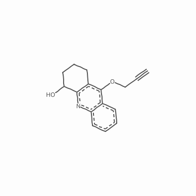 C#CCOc1c2c(nc3ccccc13)C(O)CCC2